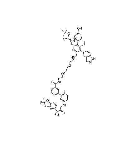 CCc1c(-c2ccc3[nH]ncc3c2)c(CNCCOCCOCCNC(=O)c2cccc(-c3nc(NCC(=O)C4(c5ccc6c(c5)OC(F)(F)O6)CC4)ccc3C)c2)nc(CNC(=O)OC(C)(C)C)c1-c1ccc(O)cc1